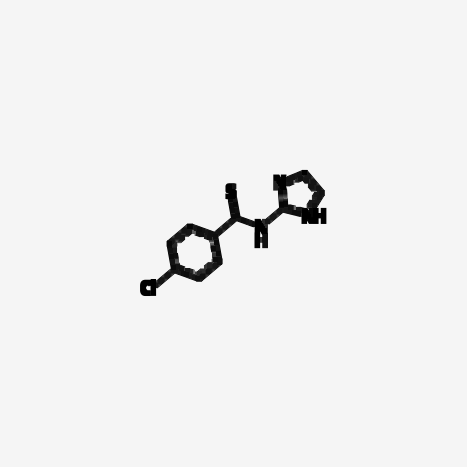 S=C(Nc1ncc[nH]1)c1ccc(Cl)cc1